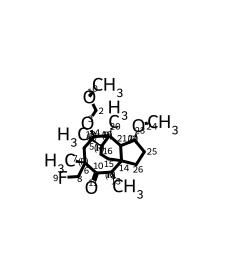 COCO[C@@H]1C[C@@](C)(CF)C(=O)[C@H](C)C23CC[C@@H](C)[C@]1(C)C2[C@H](OC)CC3